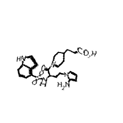 Nc1cccn1CCC(NS(=O)(=O)c1cccc2[nH]ccc12)C(=O)N1CCC(CCC(=O)O)CC1